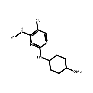 COC1CCC(Nc2ncc(C#N)c(NC(C)C)n2)CC1